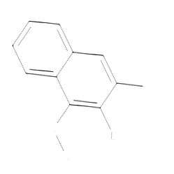 CCc1cc2ccccc2c(SS)c1CC